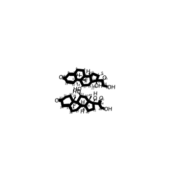 C[C@H]1C[C@H]2[C@@H]3CCC4=CC(=O)C=C[C@]4(C)[C@@]3(F)[C@@H](O)C[C@]2(C)[C@@]1(O)C(=O)CO.C[C@]12CCC(=O)C=C1CC[C@H]1[C@@H]3CC[C@](O)(C(=O)CO)[C@@]3(C)C[C@H](O)[C@@]12F